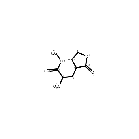 CC(C)(C)OC(=O)C(CC1NCOC1=O)C(=O)O